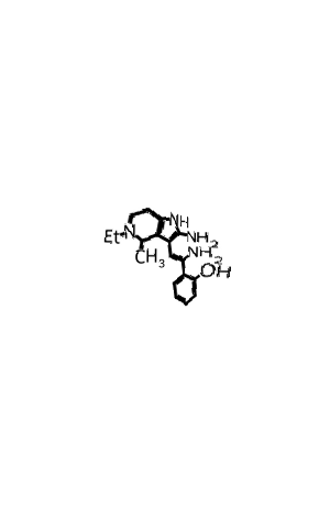 CCN1CCc2[nH]c(N)c(/C=C(\N)c3ccccc3O)c2C1C